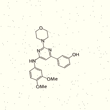 COc1ccc(Nc2cc(-c3cccc(O)c3)nc(N3CCOCC3)n2)cc1OC